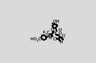 CC1(O)CCC(CN(CC(O)c2c(Cl)cncc2Cl)C(=O)c2cnn(C3CCC(C(=O)O)CC3)c2C(F)(F)F)CC1